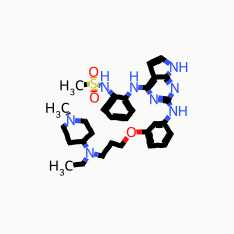 CCN(CCCOc1cccc(Nc2nc(Nc3ccccc3NS(C)(=O)=O)c3cc[nH]c3n2)c1)C1CCN(C)CC1